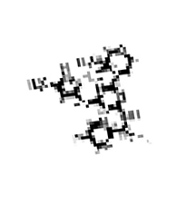 Cc1cc(Nc2nc(N[C@@H](C)c3ncc(F)cn3)nc(N3CCOCC3(C)C)n2)n[nH]1